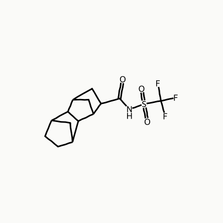 O=C(NS(=O)(=O)C(F)(F)F)C1CC2CC1C1C3CCC(C3)C21